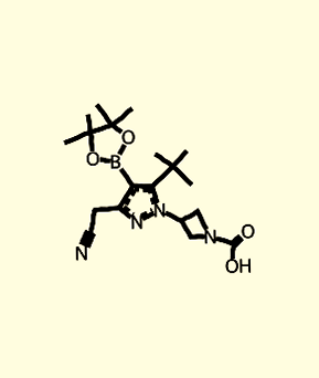 CC(C)(C)c1c(B2OC(C)(C)C(C)(C)O2)c(CC#N)nn1C1CN(C(=O)O)C1